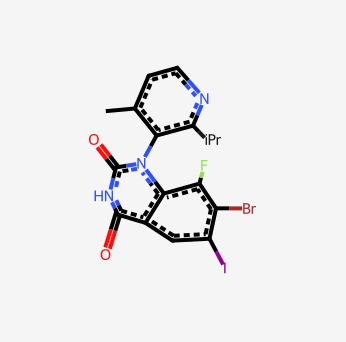 Cc1ccnc(C(C)C)c1-n1c(=O)[nH]c(=O)c2cc(I)c(Br)c(F)c21